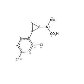 CC(C)(C)N(C(=O)O)C1CC1c1ncc(Cl)cc1Cl